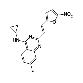 O=[N+]([O-])c1ccc(/C=C/c2nc(NC3CC3)c3ccc(F)cc3n2)o1